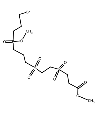 COC(=O)CCS(=O)(=O)CCS(=O)(=O)CCCP(=O)(CCCBr)OC